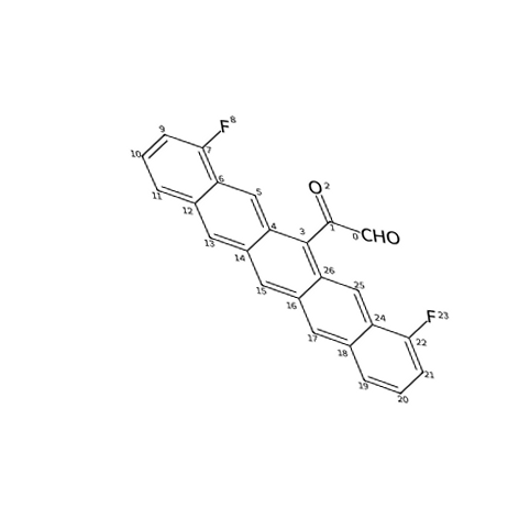 O=CC(=O)c1c2cc3c(F)cccc3cc2cc2cc3cccc(F)c3cc12